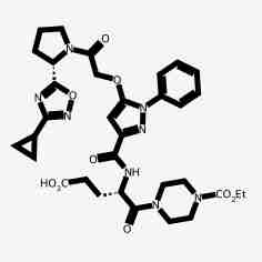 CCOC(=O)N1CCN(C(=O)[C@H](CCC(=O)O)NC(=O)c2cc(OCC(=O)N3CCC[C@H]3c3nc(C4CC4)no3)n(-c3ccccc3)n2)CC1